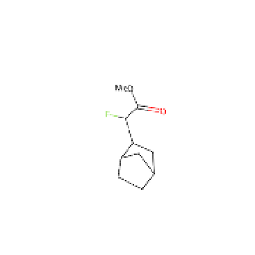 COC(=O)C(F)C1CC2CCC1C2